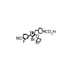 N#Cc1ccc(-c2nn(CC3CCN(C(=O)O)CC3)c(O[C@H]3CCOC3)c2Br)cc1F